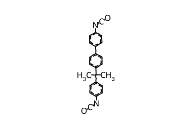 CC(C)(c1ccc(N=C=O)cc1)c1ccc(-c2ccc(N=C=O)cc2)cc1